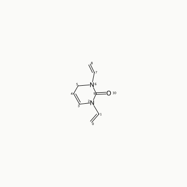 C=CN1C=CCN(C=C)C1=O